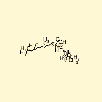 CC(C)=CCC/C(C)=C/CC/C(C)=C/CSC[C@H](NC(=O)CCCNC(=O)OC(C)(C)C)C(=O)O